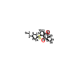 C=CCc1ccc(Sc2cccc3c2C(=O)c2ccccc2C3=O)cc1